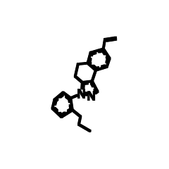 C=Cc1ccc2c(c1)CCc1c-2cnn1-c1ccccc1CCC